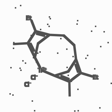 CCC1=C2CCC3=C(CC)C(C)=[C](C3)[Ti+2][C](=C1C)C2.[Cl-].[Cl-]